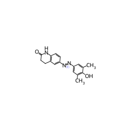 Cc1cc(/N=N/c2ccc3c(c2)CCC(=O)N3)cc(C)c1O